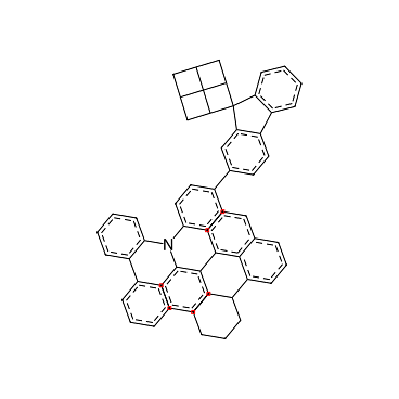 c1ccc(-c2ccccc2N(c2ccc(-c3ccc4c(c3)C3(c5ccccc5-4)C4CC5CC6CC3C564)cc2)c2ccccc2-c2cccc3cccc(C4CCCCC4)c23)cc1